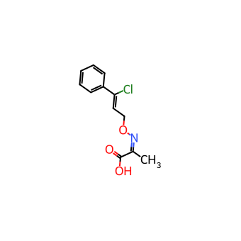 CC(=NOCC=C(Cl)c1ccccc1)C(=O)O